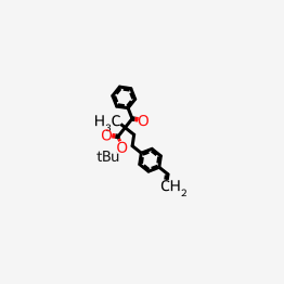 C=Cc1ccc(CCC(C)(C(=O)OC(C)(C)C)C(=O)c2ccccc2)cc1